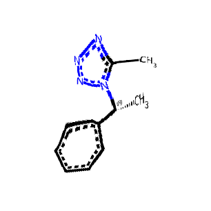 Cc1nnnn1[C@H](C)c1ccccc1